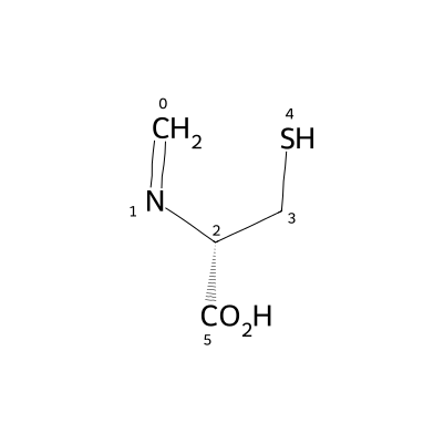 C=N[C@H](CS)C(=O)O